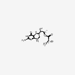 CC(C)[C@H](N)C(=O)O[C@@H](C)[C@H](O)[C@H]1CNc2nc(N)[nH]c(=O)c2N1